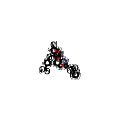 COC(=O)c1ccc2c(c1)N(C[C@@H]1CC[C@H]1[C@H](/C=C\[C@@H]1CC[C@H]1CS(=O)(=O)c1ncccn1)O[Si](C)(C)C(C)(C)C)C[C@@]1(CCCc3cc(Cl)ccc31)CO2